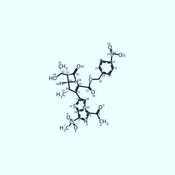 CC(=O)c1nc(S(C)(=O)=O)c2sc(C3=C(C(=O)OCc4ccc([N+](=O)[O-])cc4)N4C(=O)[C@H]([C@@H](C)O)[C@H]4[C@H]3C)cn12